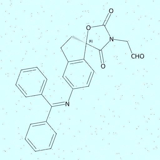 O=CCN1C(=O)O[C@@]2(CCc3cc(N=C(c4ccccc4)c4ccccc4)ccc32)C1=O